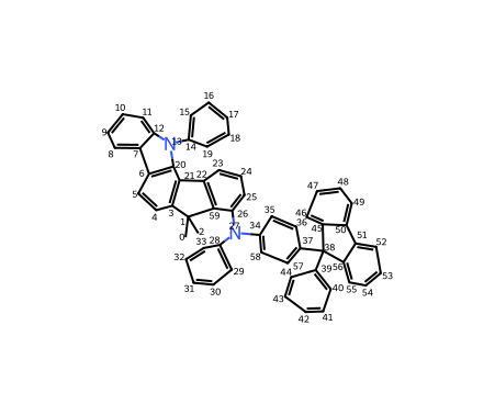 CC1(C)c2ccc3c4ccccc4n(-c4ccccc4)c3c2-c2cccc(N(c3ccccc3)c3ccc(C4(c5ccccc5)c5ccccc5-c5ccccc54)cc3)c21